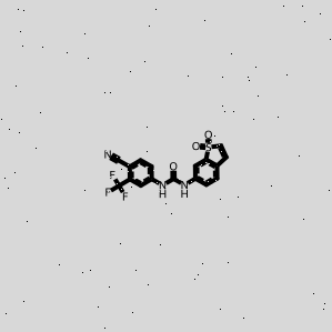 N#Cc1ccc(NC(=O)Nc2ccc3c(c2)S(=O)(=O)C=C3)cc1C(F)(F)F